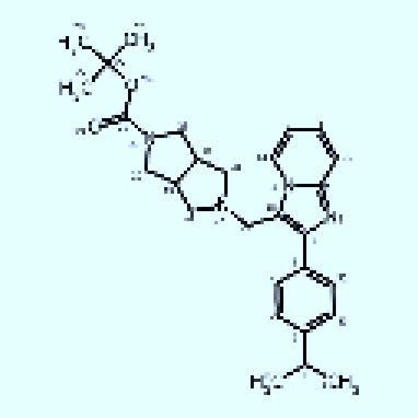 CC(C)c1ccc(-c2nc3ccccn3c2CN2CC3CN(C(=O)OC(C)(C)C)CC3C2)cc1